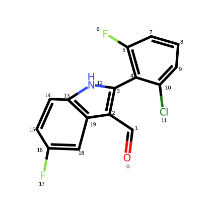 O=Cc1c(-c2c(F)cccc2Cl)[nH]c2ccc(F)cc12